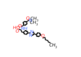 CCCCCCCOc1ccc(-c2cnc(-c3ccc(CC(NC(=O)c4ccc(C(=O)N(C)C)cc4)C(=O)O)cc3)nc2)cc1